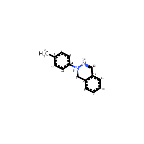 Cc1ccc(N2Cc3ccccc3C=N2)cc1